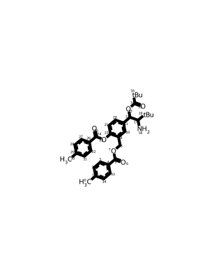 Cc1ccc(C(=O)OCc2cc(C(OC(=O)C(C)(C)C)C(N)C(C)(C)C)ccc2OC(=O)c2ccc(C)cc2)cc1